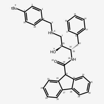 CC(C)(C)c1ccc(CNC[C@H](O)[C@H](Cc2ccccc2)NC(=O)C2c3ccccc3-c3ccccc32)cc1